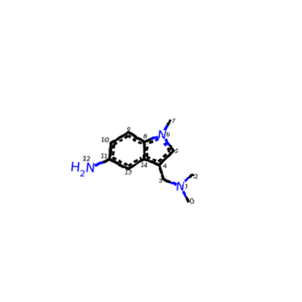 CN(C)Cc1cn(C)c2ccc(N)cc12